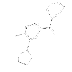 O=C(c1ccccc1)c1ccc([N+](=O)[O-])c(C2CCCO2)c1